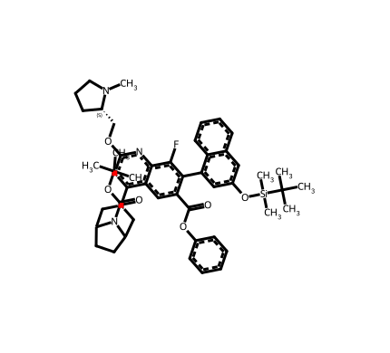 CN1CCC[C@H]1COc1nc(N2CC3CCC(C2)N3C(=O)OC(C)(C)C)c2cc(C(=O)Oc3ccccc3)c(-c3cc(O[Si](C)(C)C(C)(C)C)cc4ccccc34)c(F)c2n1